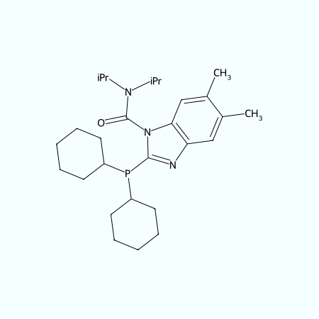 Cc1cc2nc(P(C3CCCCC3)C3CCCCC3)n(C(=O)N(C(C)C)C(C)C)c2cc1C